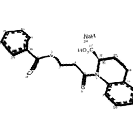 O=C(SCCC(=O)N1c2ccccc2CC[C@@H]1C(=O)O)c1ccccc1.[NaH]